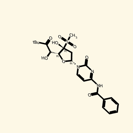 CC(C)(C)C(=O)C(O)[C@H]1O[C@@H](n2ccc(NC(=O)c3ccccc3)nc2=O)C[C@@]1(O)S(C)(=O)=O